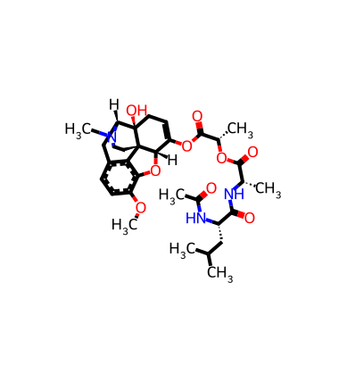 COc1ccc2c3c1O[C@H]1C(OC(=O)[C@H](C)OC(=O)[C@H](C)NC(=O)[C@H](CC(C)C)NC(C)=O)=CC[C@@]4(O)[C@@H](C2)N(C)CC[C@]314